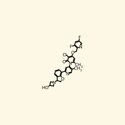 Cc1cnc(-c2cccc3c2OCC3N2CC(O)C2)cc1-n1c(C)cc(OCc2ncc(F)cc2F)c(Cl)c1=O